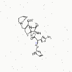 Nc1nc(/C(=N\OCc2ncc[nH]2)C(=O)N[C@@H]2C(=O)N3C(C(=O)[O-])=C(C[n+]4ccccc4)CS[C@H]23)cs1